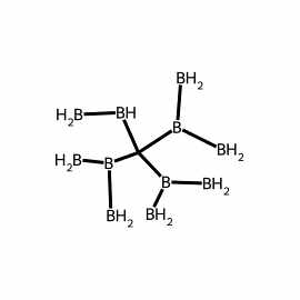 BBC(B(B)B)(B(B)B)B(B)B